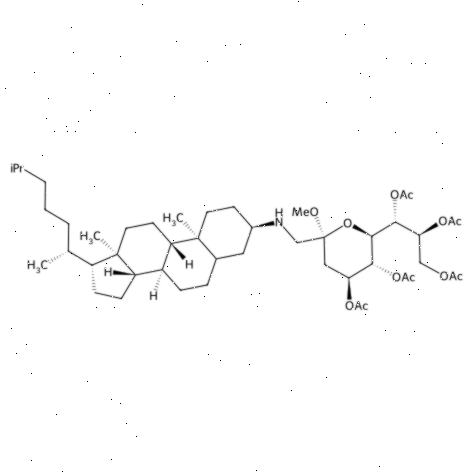 CO[C@@]1(CN[C@@H]2CC[C@@]3(C)C(CC[C@H]4[C@@H]5CC[C@H]([C@H](C)CCCC(C)C)[C@@]5(C)CC[C@@H]43)C2)C[C@H](OC(C)=O)[C@@H](OC(C)=O)[C@H]([C@H](OC(C)=O)[C@H](COC(C)=O)OC(C)=O)O1